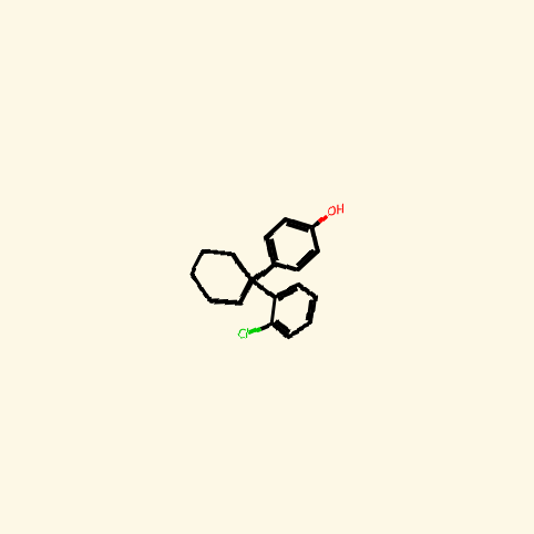 Oc1ccc(C2(c3ccccc3Cl)CCCCC2)cc1